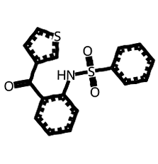 O=C(c1ccsc1)c1ccccc1NS(=O)(=O)c1ccccc1